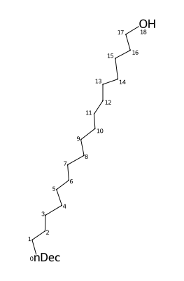 [CH2]CCCCCCCCCCCCCCCCCCCCCCCCCCO